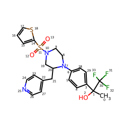 CC(O)(c1ccc(N2CCN(S(=O)(=O)c3cccs3)CC2Cc2ccncc2)cc1)C(F)(F)F